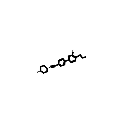 CCCc1ccc(-c2ccc(C#C[C@H]3CC[C@H](C)CC3)cc2)cc1F